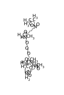 CC(=O)C(CCCNC(N)=O)NC(=O)C(NC(C)(C)C(=O)CCOCCOCCOCCNC(C)(C)C(=O)CCCCCN(C=O)C(=O)CC(C)C(C)C)C(C)C